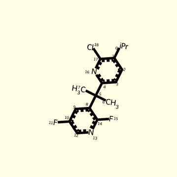 CC(C)c1ccc(C(C)(C)c2cc(F)cnc2F)nc1Cl